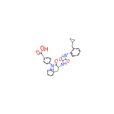 O=C(Nc1ccccc1CC1CC1)C(=O)NC(Cc1ccccc1)C(=O)Nc1ccc(C(=O)O)cc1